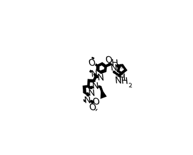 COC(=O)N(C)c1ccc2cc(-c3nc4cc(C(=O)N5C[C@H](N)[C@@H]6CC[C@H]5C6)cc(OC)c4n3C)n(CC3CC3)c2n1